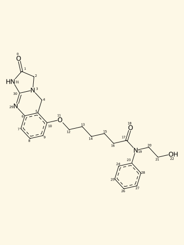 O=C1CN2Cc3c(cccc3OCCCCCC(=O)N(CCO)c3ccccc3)N=C2N1